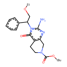 CCOCC(c1ccccc1)n1c(N)nc2c(c1=O)CCN(C(=O)OC(C)(C)C)C2